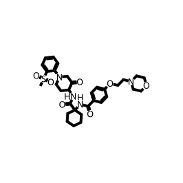 CS(=O)(=O)c1ccccc1N1CCC(NC(=O)C2(NC(=O)c3ccc(OCCN4CCOCC4)cc3)CCCCC2)C(=O)C1